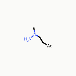 CC(=O)CCN(C)N